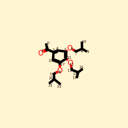 CC(=O)c1cc(OCC(C)C)c(OCC(C)C)c(OCC(C)C)c1